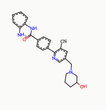 N#Cc1cc(CN2CCCC(O)C2)cnc1-c1ccc(C(=O)Nc2ccccc2N)cc1